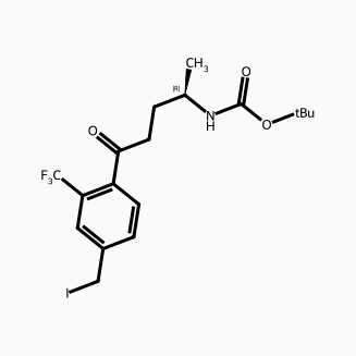 C[C@H](CCC(=O)c1ccc(CI)cc1C(F)(F)F)NC(=O)OC(C)(C)C